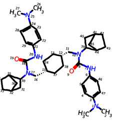 CN(C)c1ccc(NC(=O)N(C[C@H]2CC[C@@H](CN(C(=O)Nc3ccc(N(C)C)cc3)C3CC4CCC3C4)CC2)C2CC3CCC2C3)cc1